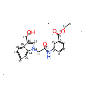 CCOC(=O)c1cccc(NC(=O)Cn2cc(CO)c3ccccc32)c1